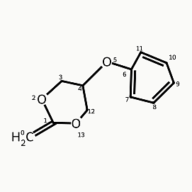 C=C1OCC(Oc2ccccc2)CO1